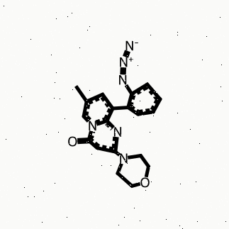 Cc1cc(-c2ccccc2N=[N+]=[N-])c2nc(N3CCOCC3)cc(=O)n2c1